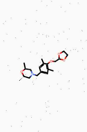 Cc1cc(CN2CC(C)O[C@@H](C)C2)cc(C)c1OCC1OCCO1